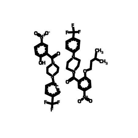 CC(C)CCOc1ccc([N+](=O)[O-])cc1C(=O)N1CCN(c2ccc(C(F)(F)F)cc2)CC1.O=C(c1cc([N+](=O)[O-])ccc1O)N1CCN(c2ccc(C(F)(F)F)cc2)CC1